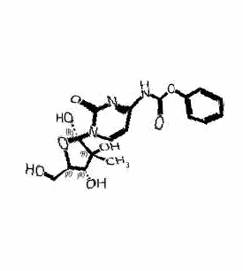 C[C@@]1(O)[C@H](O)[C@@H](CO)O[C@@]1(O)n1ccc(NC(=O)Oc2ccccc2)nc1=O